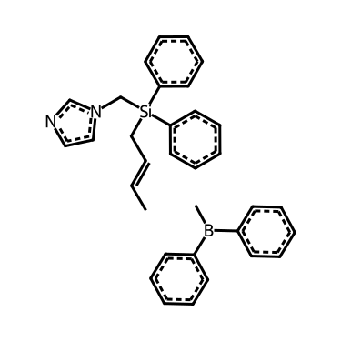 CB(c1ccccc1)c1ccccc1.CC=CC[Si](Cn1ccnc1)(c1ccccc1)c1ccccc1